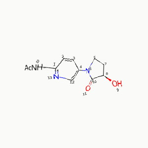 CC(=O)Nc1ccc(N2CC[C@@H](O)C2=O)cn1